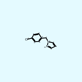 Clc1ccc(Cn2[c]ccn2)cc1